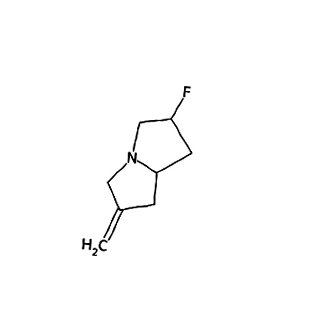 C=C1CC2CC(F)CN2C1